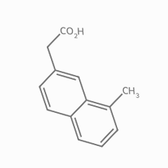 Cc1cccc2ccc(CC(=O)O)cc12